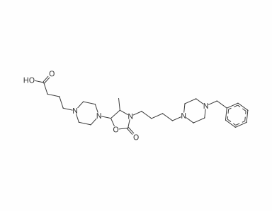 CC1C(N2CCN(CCCC(=O)O)CC2)OC(=O)N1CCCCN1CCN(Cc2ccccc2)CC1